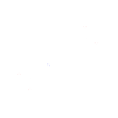 COC(=O)c1ccc(N2CCC3(CC2)OCCO3)cc1C